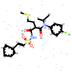 CSCCC(C(=O)NS(=O)(=O)/C=C/c1ccccc1)C(=O)N(c1ccc(F)cc1)C(C)C